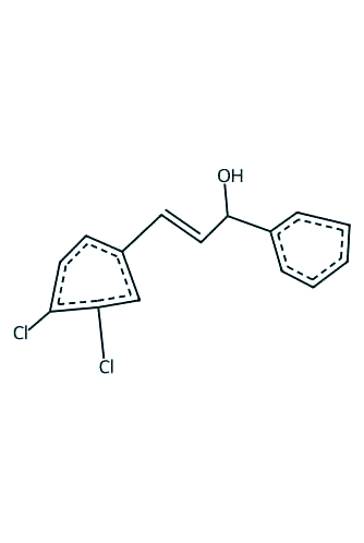 OC(C=Cc1ccc(Cl)c(Cl)c1)c1ccccc1